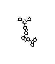 c1ccc(-c2nc(-c3ccccc3)nc(-c3ccc4c(c3)sc3ccc(-c5cccc6sc7cc(-n8c9ccccc9c9ccccc98)ccc7c56)cc34)n2)cc1